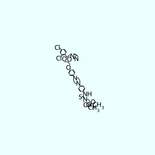 CCN(CC(OC)OC)C(=S)Nc1ccc(N2CCN(c3ccc(OCC4COC(Cn5ccnc5)(c5ccc(Cl)cc5Cl)O4)cc3)CC2)cc1